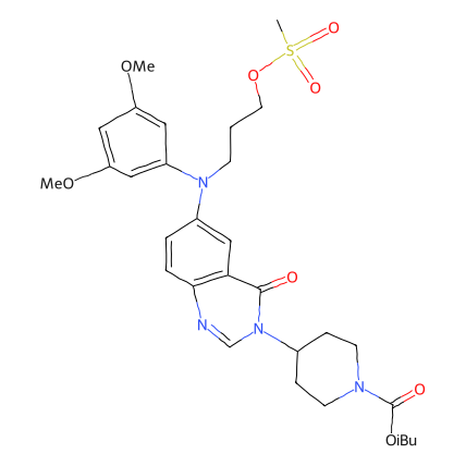 COc1cc(OC)cc(N(CCCOS(C)(=O)=O)c2ccc3ncn(C4CCN(C(=O)OCC(C)C)CC4)c(=O)c3c2)c1